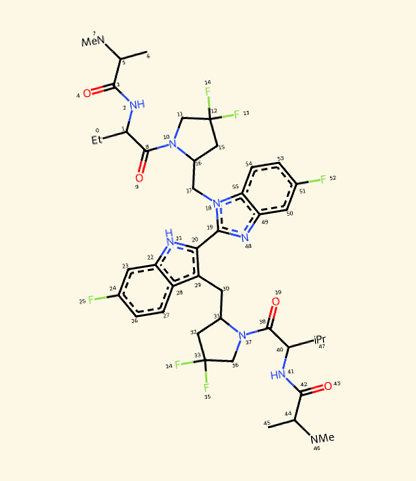 CCC(NC(=O)C(C)NC)C(=O)N1CC(F)(F)CC1Cn1c(-c2[nH]c3cc(F)ccc3c2CC2CC(F)(F)CN2C(=O)C(NC(=O)C(C)NC)C(C)C)nc2cc(F)ccc21